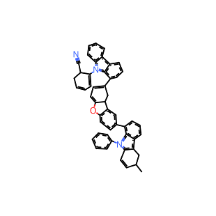 CC1C=Cc2c(c3cccc(-c4ccc5c(c4)C4CC(c6cccc7c8ccccc8n(C8=CC=CCC8C#N)c67)=CC=C4O5)c3n2-c2ccccc2)C1